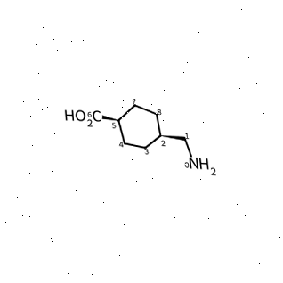 NC[C@H]1CC[C@@H](C(=O)O)CC1